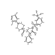 Cc1ccc(C)c(N2CCN(C(=O)[C@@H]3CN(S(=O)(=O)c4cccc(C(F)(F)F)c4)C(=O)N3c3ccccc3)CC2)c1